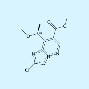 COC(=O)c1cnn2cc(Cl)nc2c1[C@H](C)OC